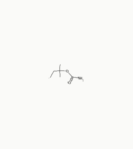 [CH2]CC(C)(C)OC(N)=O